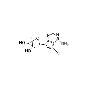 C[C@]12O[C@@H](n3cc(Cl)c4c(N)ncnc43)C[C@@]1(O)C2O